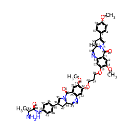 COc1ccc(C2=CN3C(=O)c4cc(OC)c(OCCCOc5cc6c(cc5OC)C(=O)N5C=C(c7ccc(NC(=O)[C@H](C)N)cc7)CC5C=N6)cc4N=C[C@@H]3C2)cc1